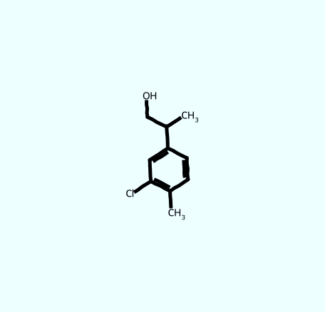 C[C](CO)c1ccc(C)c(Cl)c1